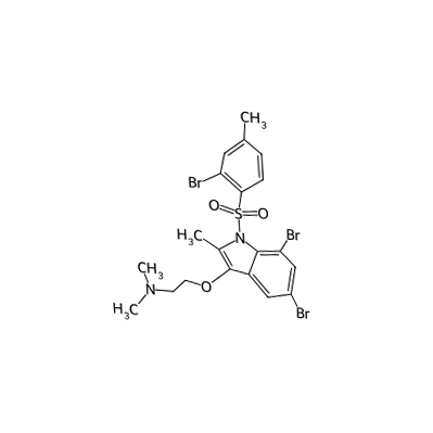 Cc1ccc(S(=O)(=O)n2c(C)c(OCCN(C)C)c3cc(Br)cc(Br)c32)c(Br)c1